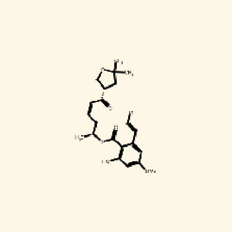 CC/C=C/c1cc(OC)cc(O)c1C(=O)O[C@@H](C)C/C=C\C(=O)[C@@H]1COC(C)(C)C1